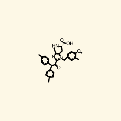 COc1ccc(Cn2c(C(=O)C(c3ccc(C)cc3)c3ccc(C)cc3)nc3c2C[C@@H](C(=O)O)NC3)cc1C